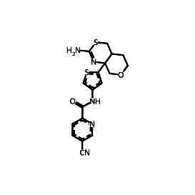 N#Cc1ccc(C(=O)Nc2csc(C34COCCC3CSC(N)=N4)c2)nc1